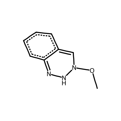 CON1C=c2ccccc2=NN1